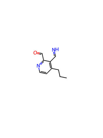 CCCc1ccnc(C=O)c1C=N